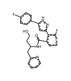 O=C(NC(CCO)Cc1ccccn1)c1cccc(F)c1-c1cc(-c2ccc(F)cc2)[nH]n1